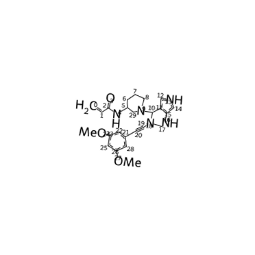 C=CC(=O)NC1CCCN(C2c3c[nH]cc3NCN2C#Cc2cc(OC)cc(OC)c2)C1